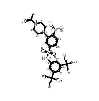 CC(=O)N1CCN(c2cc(S(=O)(=O)Nc3cc(C(F)(F)F)cc(C(F)(F)F)c3)ccc2[N+](=O)[O-])CC1